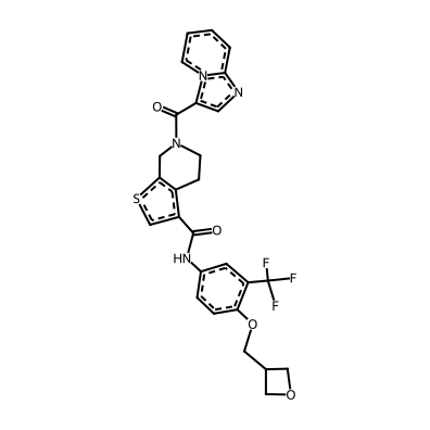 O=C(Nc1ccc(OCC2COC2)c(C(F)(F)F)c1)c1csc2c1CCN(C(=O)c1cnc3ccccn13)C2